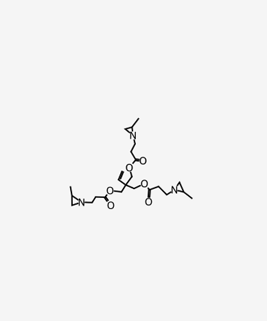 C=CC(COC(=O)CCN1CC1C)(COC(=O)CCN1CC1C)COC(=O)CCN1CC1C